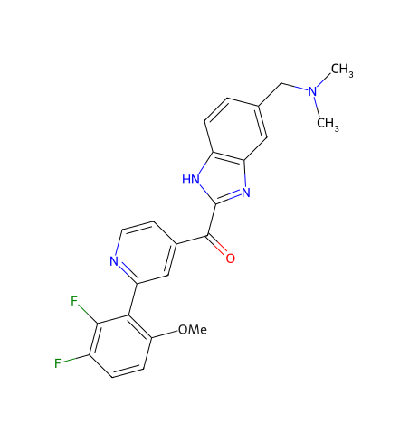 COc1ccc(F)c(F)c1-c1cc(C(=O)c2nc3cc(CN(C)C)ccc3[nH]2)ccn1